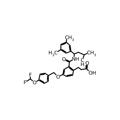 Cc1cc(C)cc(C(CC(C)C)NC(=O)c2cc(OCc3ccc(OC(F)F)cc3)ccc2CCC(=O)O)c1